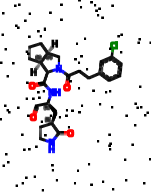 O=C[C@H](C[C@@H]1CCNC1=O)NC(=O)C1[C@H]2CCC[C@H]2CN1C(=O)CCc1cccc(Cl)c1